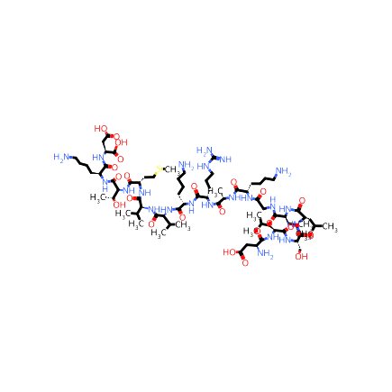 CSCC[C@H](NC(=O)[C@@H](NC(=O)[C@@H](NC(=O)[C@H](CCCCN)NC(=O)[C@H](CCCNC(=N)N)NC(=O)[C@H](C)NC(=O)[C@H](CCCCN)NC(=O)CNC(=O)[C@H](CC(C)C)NC(=O)[C@H](CC(C)C)NC(=O)[C@H](CO)NC(=O)[C@H](CC(C)C)NC(=O)[C@@H](N)CC(=O)O)C(C)C)C(C)C)C(=O)N[C@H](C(=O)N[C@@H](CCCCN)C(=O)N[C@@H](CC(=O)O)C(=O)O)[C@@H](C)O